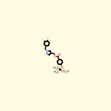 CC(C)(Oc1ccc(C(=O)OCc2cnn(Cc3ccc(F)c(F)c3)c2)cc1)C(=O)O